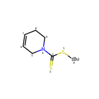 CC(C)(C)SC(=S)N1CC=CCC1